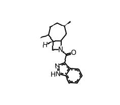 CC1CC[C@@H](C)CC2[C@@H]1CN2C(=O)c1n[nH]c2ccccc12